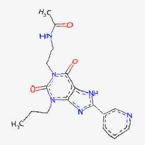 CCCn1c(=O)n(CCNC(C)=O)c(=O)c2[nH]c(-c3cccnc3)nc21